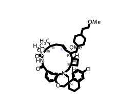 COCCC1CCC(C[C@]2(OC)/C=C/C[C@H](C)[C@@H](C)S(=O)(=O)NC(=O)c3ccc4c(c3)N(C[C@@H]3CC[C@H]32)C[C@@]2(CCCc3cc(Cl)ccc32)CO4)CC1